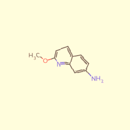 COc1ccc2ccc(N)cc2n1